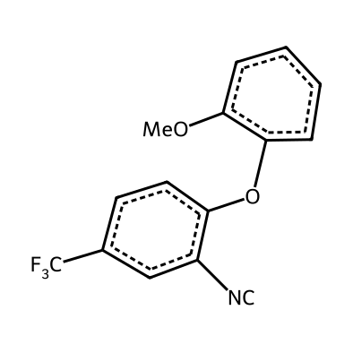 [C-]#[N+]c1cc(C(F)(F)F)ccc1Oc1ccccc1OC